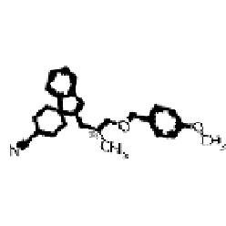 COc1ccc(COC[C@H](C)CC2=Cc3ccccc3C23CCC(C#N)CC3)cc1